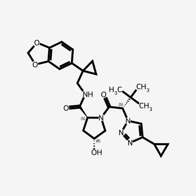 CC(C)(C)[C@@H](C(=O)N1C[C@H](O)C[C@H]1C(=O)NCC1(c2ccc3c(c2)OCO3)CC1)n1cc(C2CC2)nn1